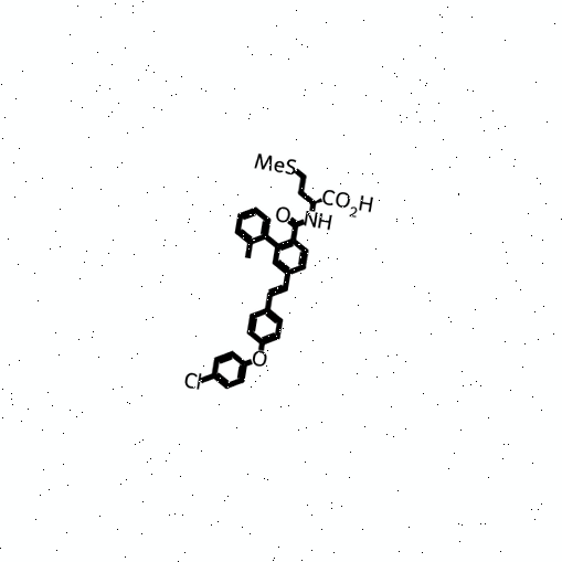 CSCC[C@H](NC(=O)c1ccc(C=Cc2ccc(Oc3ccc(Cl)cc3)cc2)cc1-c1ccccc1C)C(=O)O